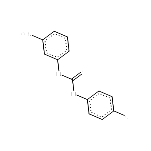 O=C(Nc1ccc(Cl)cc1)Nc1cccc([N+](=O)[O-])c1